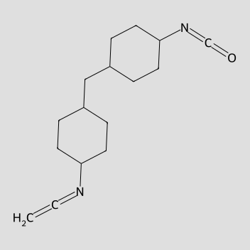 C=C=NC1CCC(CC2CCC(N=C=O)CC2)CC1